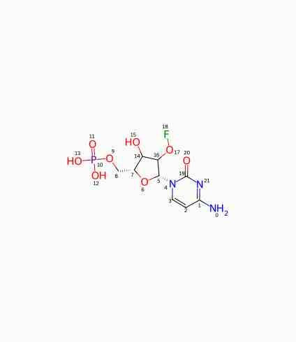 Nc1ccn([C@@H]2O[C@H](COP(=O)(O)O)C(O)C2OF)c(=O)n1